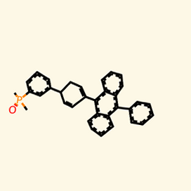 CP(C)(=O)c1cccc(C2C=CC(c3c4ccccc4c(-c4ccccc4)c4ccccc34)=CC2)c1